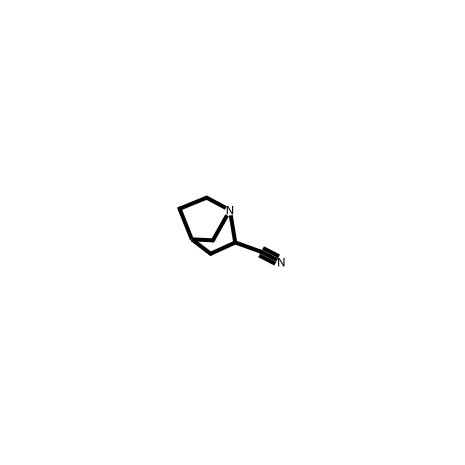 N#CC1CC2CCN1C2